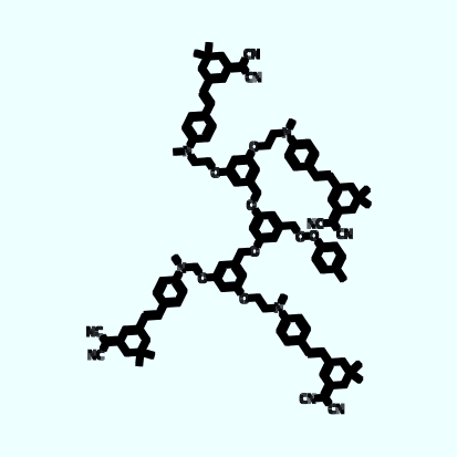 [C-]#[N+]/C(C#N)=C1C=C(/C=C/c2ccc(N(C)CCOc3cc(COc4cc(COOc5ccc(C)cc5)cc(OCc5cc(OCCN(C)c6ccc(/C=C/C7=CC(=C(C#N)C#N)CC(C)(C)C7)cc6)cc(OCCN(C)c6ccc(/C=C/C7=CC(=C(C#N)C#N)CC(C)(C)C7)cc6)c5)c4)cc(OCN(C)c4ccc(/C=C/C5=CC(=C(C#N)C#N)CC(C)(C)C5)cc4)c3)cc2)CC(C)(C)C\1